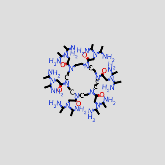 CC(N)N(CC(=O)N1CCN(C(=O)CN(C(C)N)C(C)N)CCN(C(=O)CN(C(C)N)C(C)N)CCN(C(=O)CN(C(C)N)C(C)N)CCN(C(=O)CN(C(C)N)C(C)N)CCN(C(=O)CN(C(C)N)C(C)N)CC1)C(C)N